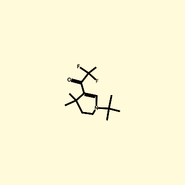 CC(F)(F)C(=O)C1=CN(C(C)(C)C)CCC1(C)C